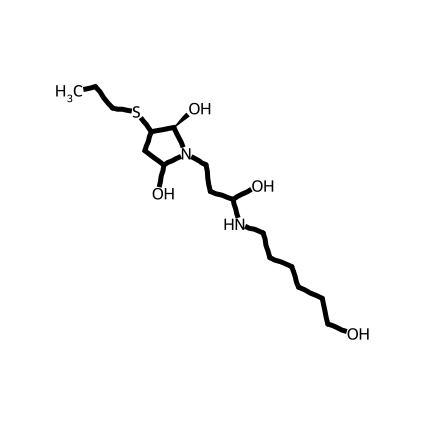 CCCSC1CC(O)N(CCC(O)NCCCCCCO)[C@@H]1O